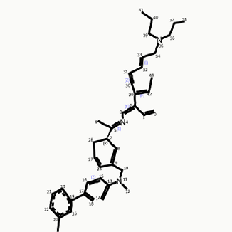 C=CC(=C\N=C(/C)[C@H]1C=C(CN(C)C(=C)/C=C\C(=C)c2cccc(C)c2)C=CC1)/C(/C=C\C=C\CN(CCC)CCC)=C/C